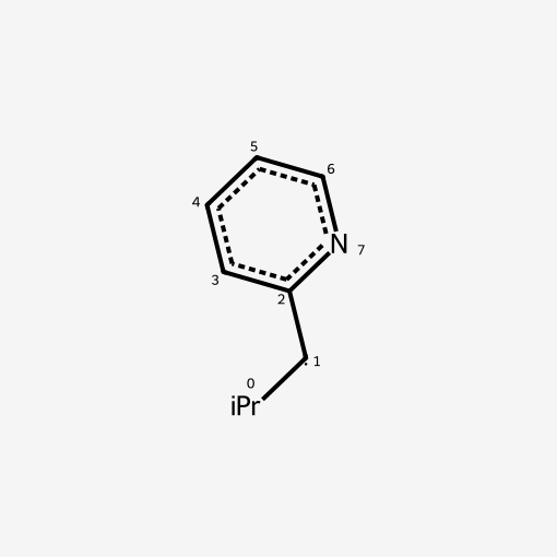 CC(C)[CH]c1ccccn1